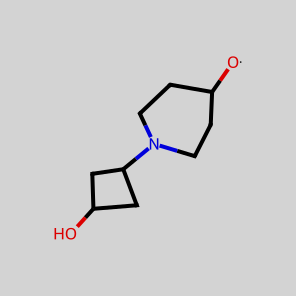 [O]C1CCN(C2CC(O)C2)CC1